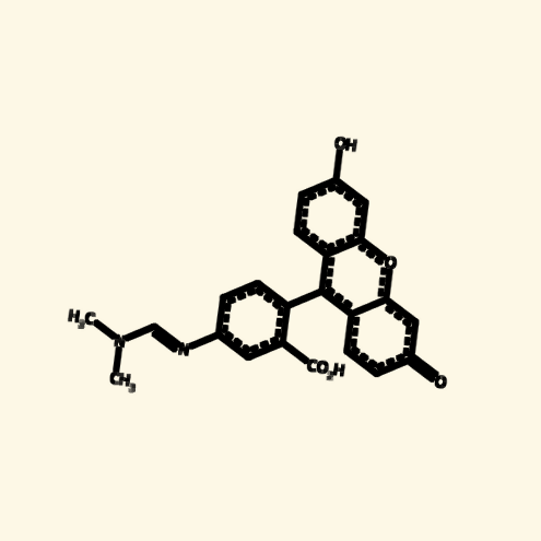 CN(C)C=Nc1ccc(-c2c3ccc(=O)cc-3oc3cc(O)ccc23)c(C(=O)O)c1